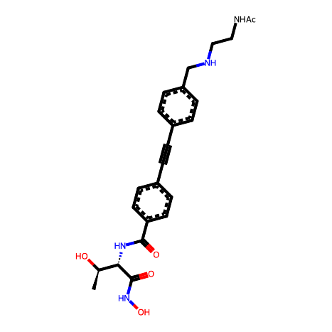 CC(=O)NCCNCc1ccc(C#Cc2ccc(C(=O)N[C@H](C(=O)NO)[C@@H](C)O)cc2)cc1